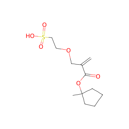 C=C(COCCS(=O)(=O)O)C(=O)OC1(C)CCCC1